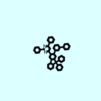 c1ccc(-c2cccc(-c3cc4c(cc3-c3cc(-c5ccccc5)nc(-c5ccccc5)n3)-c3ccccc3C4(c3ccccc3)c3ccccc3)c2)cc1